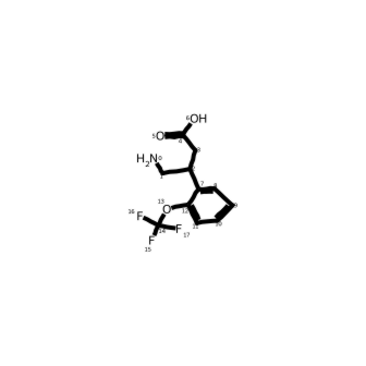 NCC(CC(=O)O)c1ccccc1OC(F)(F)F